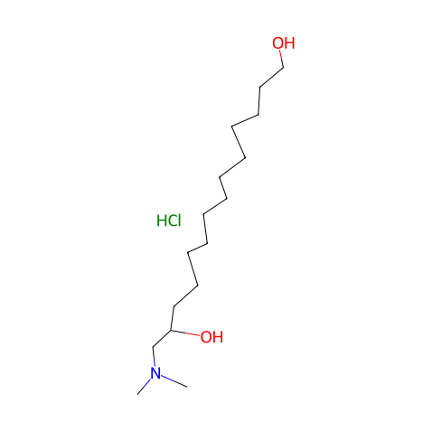 CN(C)CC(O)CCCCCCCCCCCCO.Cl